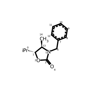 CC(C)[C@H]1OC(=O)N(Cc2ccccc2)[C@@H]1C